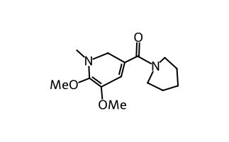 COC1=C(OC)N(C)CC(C(=O)N2CCCCC2)=C1